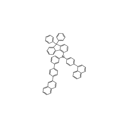 c1ccc(C2(c3ccccc3)c3ccccc3-c3c(N(c4ccc(-c5cccc6ccccc56)cc4)c4cccc(-c5ccc(-c6ccc7ccccc7c6)cc5)c4)cccc32)cc1